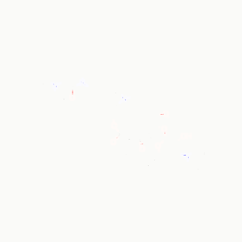 CO[C@@H]1C[C@@H](C)CN(C)[C@@H]([C@H]2CC[C@H](N(C)C(=O)CN(C)C)CC2)COC(=O)C(C)(C)C(=O)[C@H](C)[C@H]1O[C@@H]1O[C@H](C)C[C@H](N(C)C)[C@H]1O